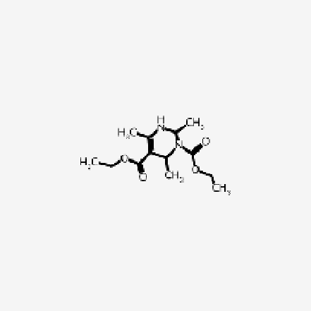 CCOC(=O)C1=C(C)NC(C)N(C(=O)OCC)C1C